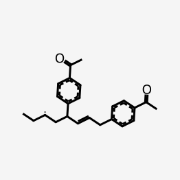 CC[CH]CC(C=CCc1ccc(C(C)=O)cc1)c1ccc(C(C)=O)cc1